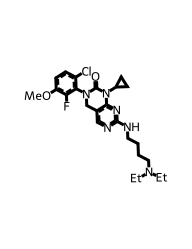 CCN(CC)CCCCNc1ncc2c(n1)N(C1CC1)C(=O)N(c1c(Cl)ccc(OC)c1F)C2